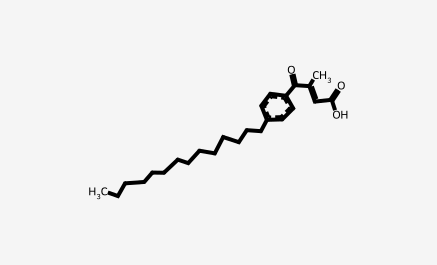 CCCCCCCCCCCCCCc1ccc(C(=O)C(C)=CC(=O)O)cc1